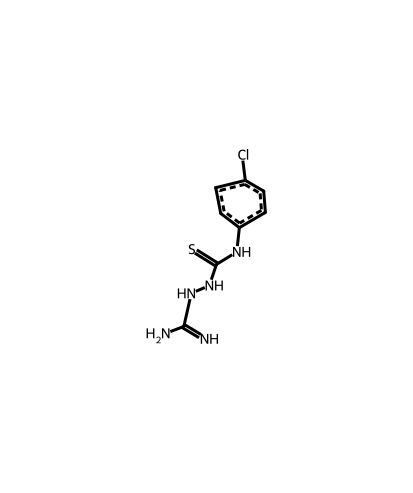 N=C(N)NNC(=S)Nc1ccc(Cl)cc1